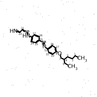 CCCCC(CC)COc1ccc(/N=N/c2ccc(N/N=C\C=N)cc2)cc1